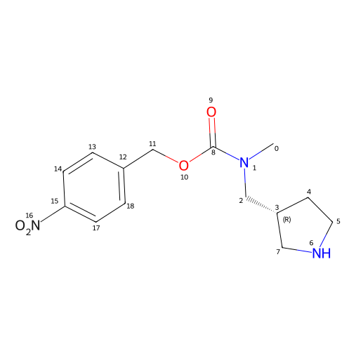 CN(C[C@@H]1CCNC1)C(=O)OCc1ccc([N+](=O)[O-])cc1